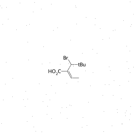 CC=C(C(=O)O)C(Br)C(C)(C)C